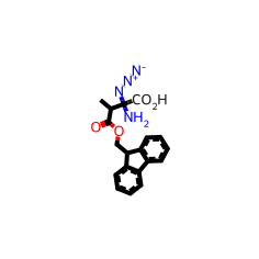 CC(C(=O)OCC1c2ccccc2-c2ccccc21)C(N)(N=[N+]=[N-])C(=O)O